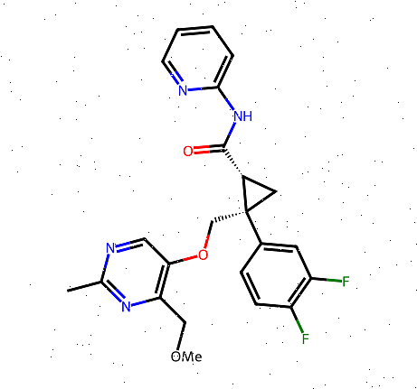 COCc1nc(C)ncc1OC[C@@]1(c2ccc(F)c(F)c2)C[C@H]1C(=O)Nc1ccccn1